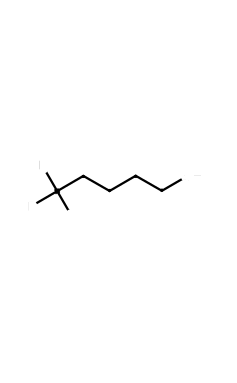 CCCCCC(F)(F)Cl